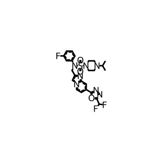 CC(C)N1CCN(S(=O)(=O)N(Cc2cn3ccc(-c4nnc(C(F)F)o4)cc3n2)c2cccc(F)c2)CC1